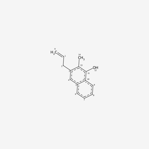 C=CCc1cc2ccccc2c(O)c1C